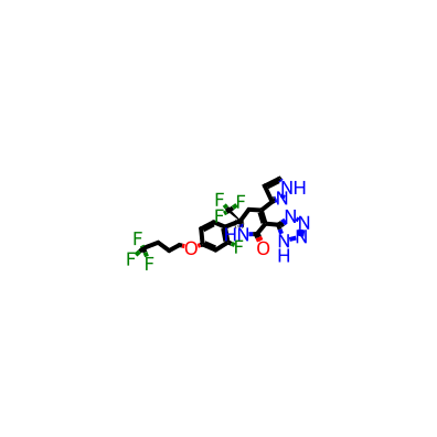 O=C1N[C@@](c2ccc(OCCCC(F)(F)F)cc2F)(C(F)(F)F)CC(c2cc[nH]n2)=C1c1nnn[nH]1